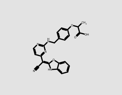 CC(Oc1ccc(CNc2nccc(C(C#N)=C3Nc4ccccc4O3)n2)cc1)C(=O)O